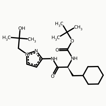 CC(C)(O)Cn1ccc(NC(=O)[C@H](CC2CCCCC2)NC(=O)OC(C)(C)C)n1